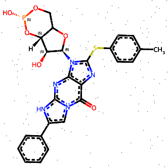 Cc1ccc(Sc2nc3c(=O)n4cc(-c5ccccc5)[nH]c4nc3n2[C@@H]2OC3CO[P@@](O)O[C@H]3[C@@H]2O)cc1